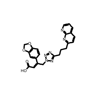 O=C(O)C=C(Cn1nnc(CCCc2ccc3cccnc3n2)n1)c1ccc2c(c1)OCO2